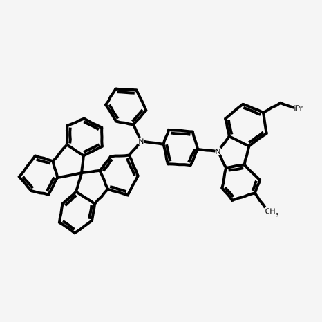 Cc1ccc2c(c1)c1cc(CC(C)C)ccc1n2-c1ccc(N(c2ccccc2)c2ccc3c(c2)C2(c4ccccc4-c4ccccc42)c2ccccc2-3)cc1